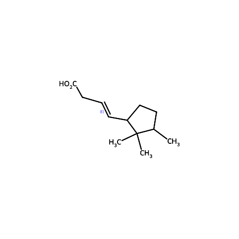 CC1CCC(/C=C/CC(=O)O)C1(C)C